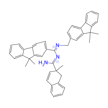 CC1(/C(N)=N/C(=N\Cc2ccc3c(c2)C(C)(C)c2ccccc2-3)c2ccc3c(c2)C(C)(C)c2ccccc2-3)C=Cc2ccccc2C1